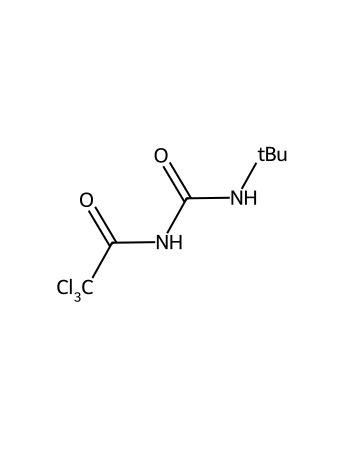 CC(C)(C)NC(=O)NC(=O)C(Cl)(Cl)Cl